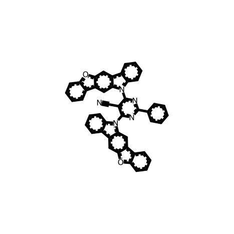 N#Cc1c(-n2c3ccccc3c3cc4oc5ccccc5c4cc32)nc(-c2ccccc2)nc1-n1c2ccccc2c2cc3oc4ccccc4c3cc21